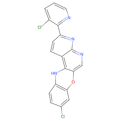 Clc1ccc2c(c1)Oc1cnc3nc(-c4ncccc4Cl)ccc3c1N2